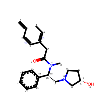 C=C/C=C\C(=C/C)CC(=O)N(C)[C@H](CN1CC[C@H](O)C1)c1ccccc1